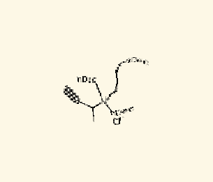 C#CC(I)[N+](CCCCCCCCCC)(CCCCCCCCCC)CCCCCCCCCCCC.[Cl-]